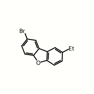 CCc1ccc2oc3ccc(Br)cc3c2c1